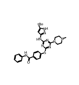 CN1CCN(c2nc(Nc3cc(C(C)(C)C)[nH]n3)nc(Sc3ccc(C(=O)Nc4ccccc4)cc3)n2)CC1